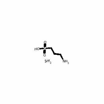 NCCCS(=O)(=O)O.[SrH2]